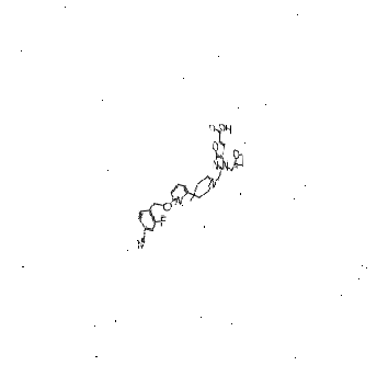 CC1(c2cccc(OCc3ccc(C#N)cc3F)n2)CCN(Cc2nc3oc(C(=O)O)cc3n2C[C@@H]2CCO2)CC1